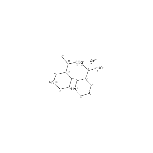 CC(C(=O)[O-])C1CCCNC1.CC(C(=O)[O-])C1CCCNC1.[Zn+2]